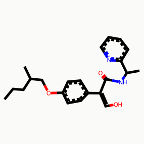 CCCC(C)COc1ccc(C(=CO)C(=O)NC(C)c2ccccn2)cc1